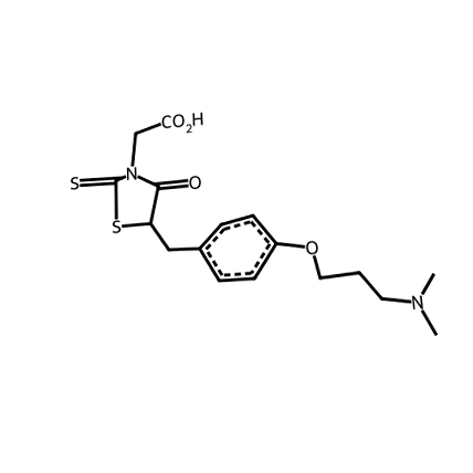 CN(C)CCCOc1ccc(CC2SC(=S)N(CC(=O)O)C2=O)cc1